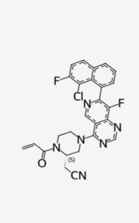 C=CC(=O)N1CCN(c2ncnc3c(F)c(-c4cccc5ccc(F)c(Cl)c45)ncc23)C[C@@H]1CC#N